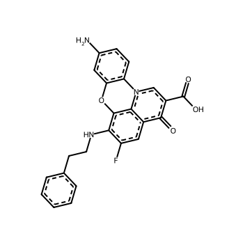 Nc1ccc2c(c1)Oc1c(NCCc3ccccc3)c(F)cc3c(=O)c(C(=O)O)cn-2c13